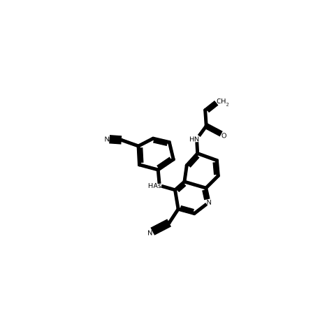 C=CC(=O)Nc1ccc2ncc(C#N)c([AsH]c3cccc(C#N)c3)c2c1